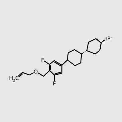 C=CCOCc1c(F)cc(C2CCC([C@H]3CC[C@H](CCC)CC3)CC2)cc1F